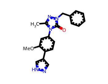 COc1cc(-n2c(C)nn(Cc3ccccc3)c2=O)ccc1-c1cn[nH]c1